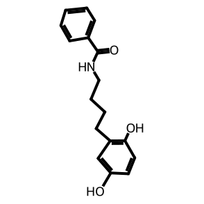 O=C(NCCCCc1cc(O)ccc1O)c1ccccc1